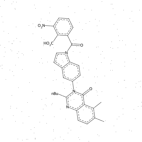 CCCCc1nc2ccc(C)c(C)c2c(=O)n1-c1ccc2c(ccn2C(=O)c2cccc([N+](=O)[O-])c2C(=O)O)c1